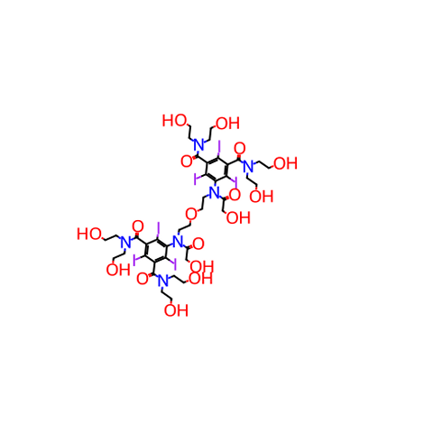 O=C(c1c(I)c(C(=O)N(CCO)CCO)c(I)c(N(CCOCCN(C(=O)CO)c2c(I)c(C(=O)N(CCO)CCO)c(I)c(C(=O)N(CCO)CCO)c2I)C(=O)CO)c1I)N(CCO)CCO